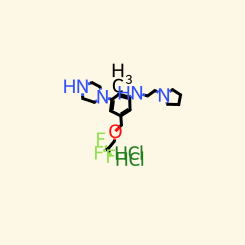 Cc1c(NCCN2CCCC2)cc(COCC(F)(F)F)cc1N1CCNCC1.Cl.Cl